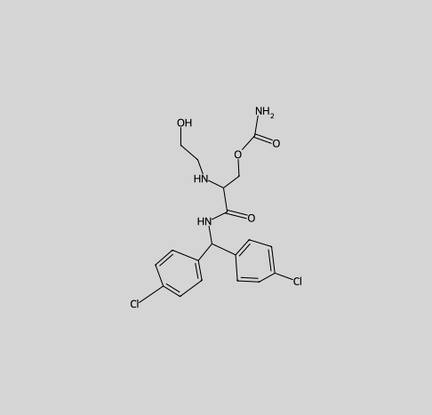 NC(=O)OCC(NCCO)C(=O)NC(c1ccc(Cl)cc1)c1ccc(Cl)cc1